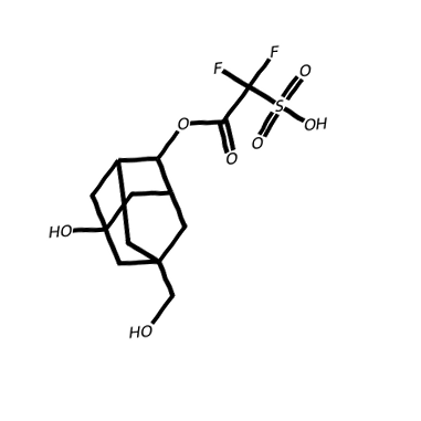 O=C(OC1C2CC3(O)CC1CC(CO)(C2)C3)C(F)(F)S(=O)(=O)O